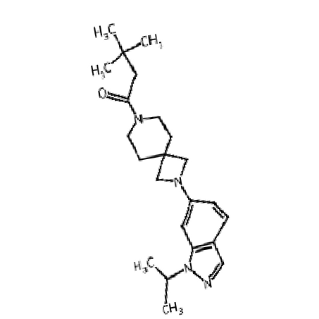 CC(C)n1ncc2ccc(N3CC4(CCN(C(=O)CC(C)(C)C)CC4)C3)cc21